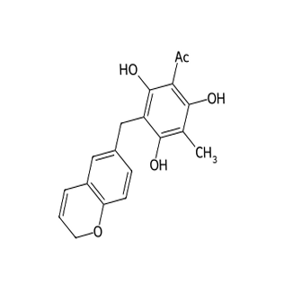 CC(=O)c1c(O)c(C)c(O)c(Cc2ccc3c(c2)C=CCO3)c1O